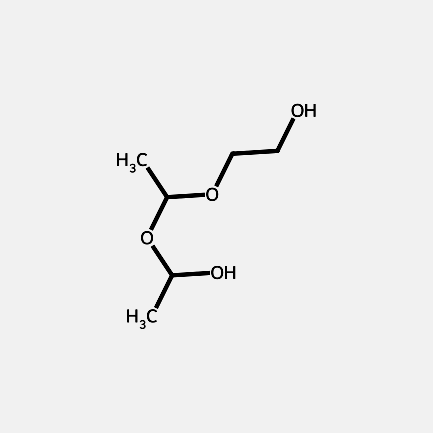 CC(O)OC(C)OCCO